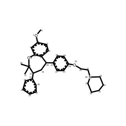 COc1ccc2c(c1)OC(C)(C)C(c1ccccc1)CC2c1ccc(OCCN2CCCCC2)cc1